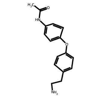 CC(=O)Nc1ccc(Oc2ccc(CCN)cc2)cc1